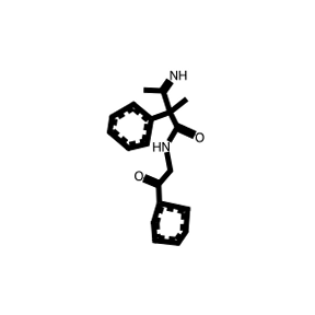 CC(=N)C(C)(C(=O)NCC(=O)c1ccccc1)c1ccccc1